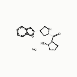 Cl.N#C[C@@H]1CCCN1C(=O)[C@@H]1C[C@H](c2cc3ccccc3o2)CN1